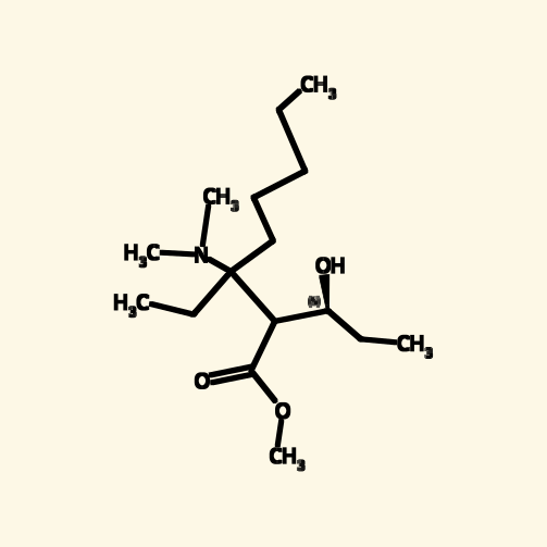 CCCCCC(CC)(C(C(=O)OC)[C@@H](O)CC)N(C)C